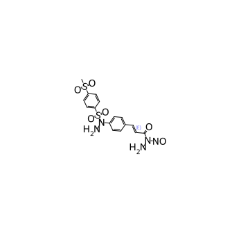 CS(=O)(=O)c1ccc(S(=O)(=O)N(N)c2ccc(/C=C/C(=O)N(N)N=O)cc2)cc1